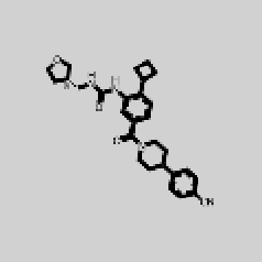 N#Cc1ccc(C2CCN(C(=O)c3ccc(C4CCC4)c(NC(=O)NC[C@@H]4CCOC4)c3)CC2)cc1